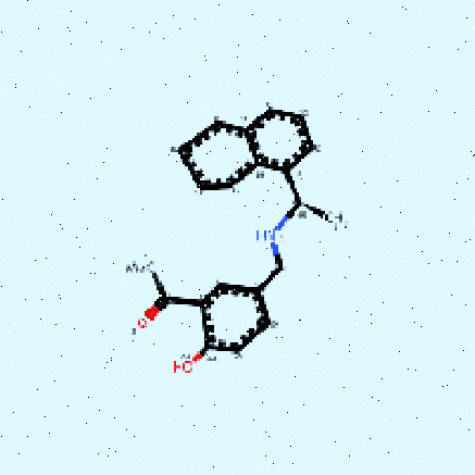 COC(=O)c1cc(CN[C@H](C)c2cccc3ccccc23)ccc1O